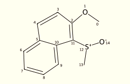 COc1ccc2ccccc2c1[S+](C)[O-]